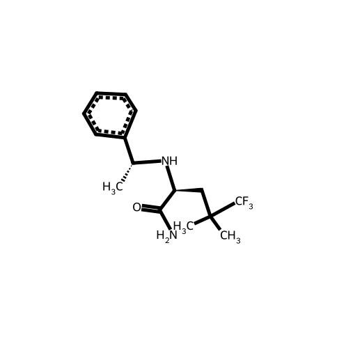 C[C@@H](N[C@@H](CC(C)(C)C(F)(F)F)C(N)=O)c1ccccc1